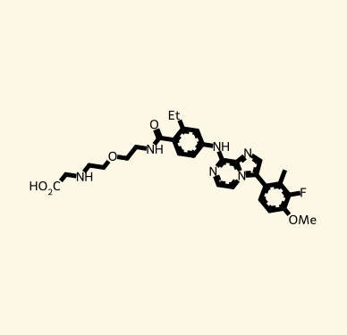 CCc1cc(Nc2nccn3c(-c4ccc(OC)c(F)c4C)cnc23)ccc1C(=O)NCCOCCNCC(=O)O